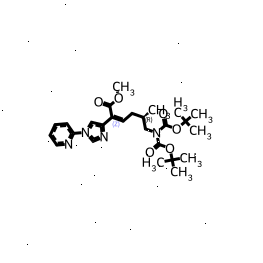 COC(=O)/C(=C\C[C@@H](C)CN(C(=O)OC(C)(C)C)C(=O)OC(C)(C)C)c1cn(-c2ccccn2)cn1